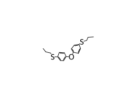 CCCSc1ccc(Oc2ccc(SCCC)cc2)cc1